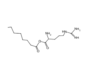 CCCCCCCC(=O)OC(=O)C(N)CCCNC(=N)N